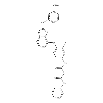 COc1cccc(Nc2cc3nccc(Oc4ccc(NC(=O)CC(=O)Nc5ccccc5)cc4F)c3s2)c1